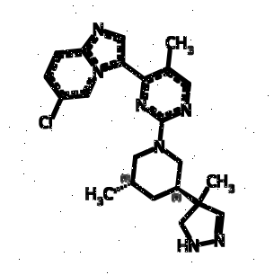 Cc1cnc(N2C[C@@H](C)C[C@H](C3(C)C=NNC3)C2)nc1-c1cnc2ccc(Cl)cn12